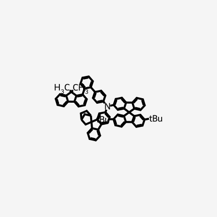 CC(C)(C)c1ccc2c(c1)C1(c3ccccc3-c3ccc(N(c4ccc(-c5ccccc5-c5cccc6c5C(C)(C)c5ccccc5-6)cc4)c4ccc5c(c4)C4(CC6CCC4C6)c4ccccc4-5)cc31)c1cc(C(C)(C)C)ccc1-2